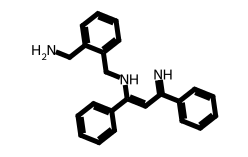 N=C(/C=C(\NCc1ccccc1CN)c1ccccc1)c1ccccc1